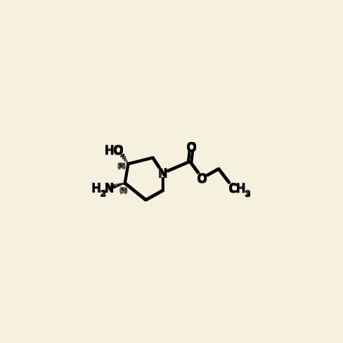 CCOC(=O)N1CC[C@H](N)[C@H](O)C1